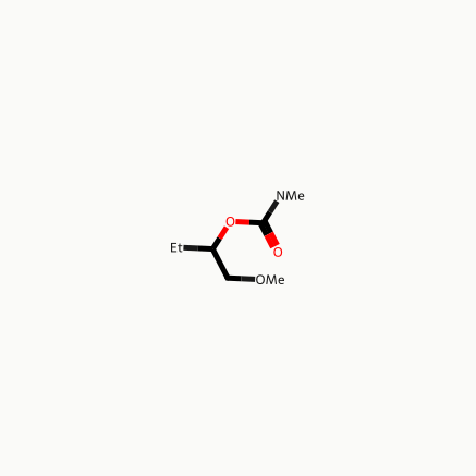 CCC(COC)OC(=O)NC